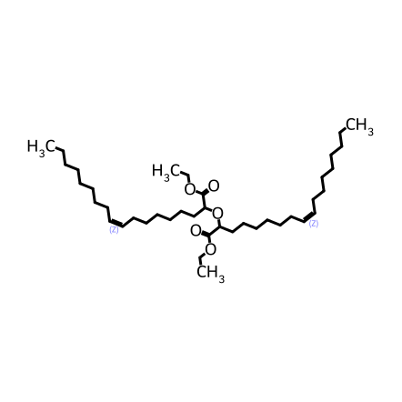 CCCCCCCC/C=C\CCCCCCC(OC(CCCCCC/C=C\CCCCCCCC)C(=O)OCC)C(=O)OCC